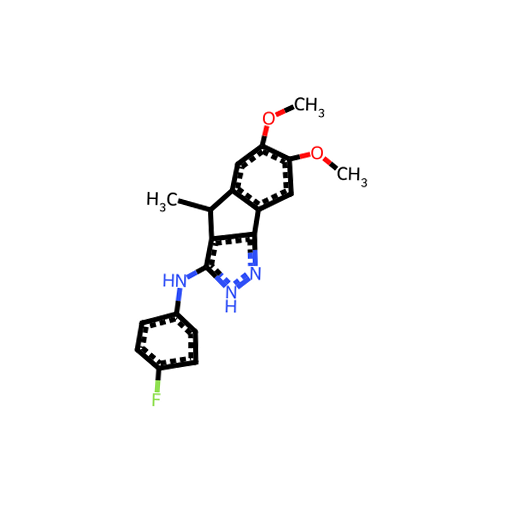 COc1cc2c(cc1OC)C(C)c1c-2n[nH]c1Nc1ccc(F)cc1